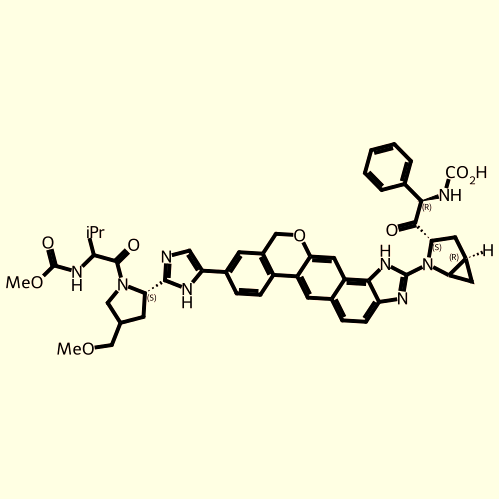 COCC1C[C@@H](c2ncc(-c3ccc4c(c3)COc3cc5c(ccc6nc(N7C8C[C@@H]8C[C@H]7C(=O)[C@H](NC(=O)O)c7ccccc7)[nH]c65)cc3-4)[nH]2)N(C(=O)C(NC(=O)OC)C(C)C)C1